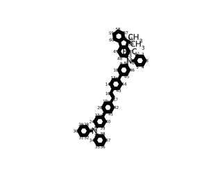 Cc1ccccc1N(c1ccc(-c2ccc(/C=C/c3ccc(-c4ccc(N(c5ccccc5)c5ccccc5)cc4)cc3)cc2)cc1)c1ccc2c(c1)C(C)(C)c1ccccc1-2